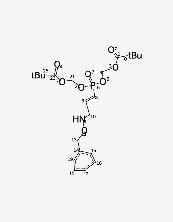 CC(C)(C)C(=O)OCOP(=O)(/C=C/CNOCc1ccccc1)OCOC(=O)C(C)(C)C